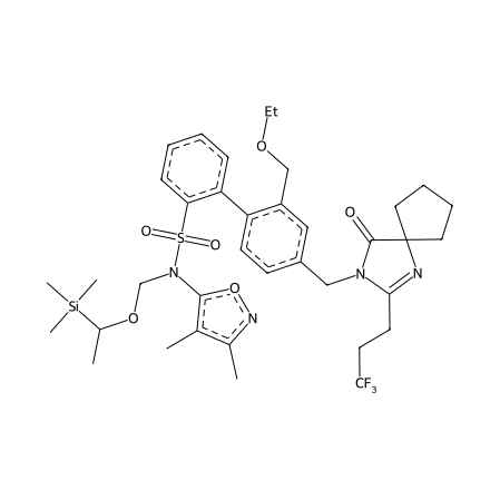 CCOCc1cc(CN2C(=O)C3(CCCC3)N=C2CCC(F)(F)F)ccc1-c1ccccc1S(=O)(=O)N(COC(C)[Si](C)(C)C)c1onc(C)c1C